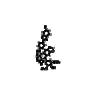 COc1cc([C@@H]2c3cc4c(cc3[C@@H](Nc3ccc(-c5nc6ccc(F)cc6s5)cc3)[C@H]3COC(=O)[C@H]23)OCO4)cc(OC)c1O